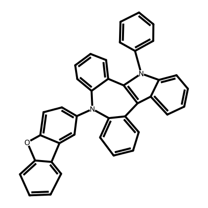 c1ccc(-n2c3c(c4ccccc42)-c2ccccc2N(c2ccc4oc5ccccc5c4c2)c2ccccc2-3)cc1